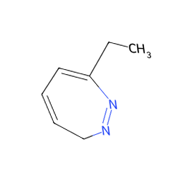 CCC1=CC=CCN=N1